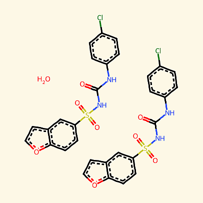 O.O=C(Nc1ccc(Cl)cc1)NS(=O)(=O)c1ccc2occc2c1.O=C(Nc1ccc(Cl)cc1)NS(=O)(=O)c1ccc2occc2c1